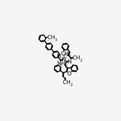 C=C/C=C(/c1ccccc1)c1oc2ccccc2c1CC(=N/C(=C)/C(C)=C/c1ccccc1C)/N=C(\N)c1ccc(-c2ccc(C3=CC=CCC3C)cc2)cc1